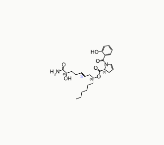 CCCCCC[C@H](C/C=C/CC[C@@H](O)C(N)=O)OC(=O)[C@@H]1CC=CN1C(=O)c1ccccc1O